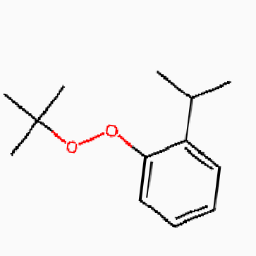 CC(C)c1ccccc1OOC(C)(C)C